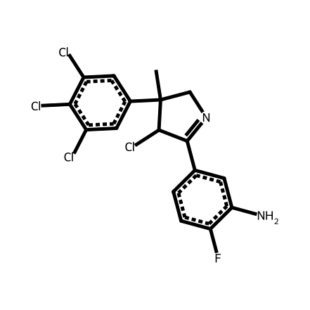 CC1(c2cc(Cl)c(Cl)c(Cl)c2)CN=C(c2ccc(F)c(N)c2)C1Cl